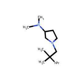 CCCC(C)(C)CN1CCC(N(C)C)C1